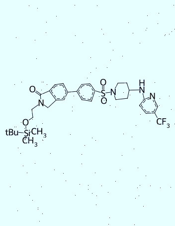 CC(C)(C)[Si](C)(C)OCCN1Cc2cc(-c3ccc(S(=O)(=O)N4CCC(Nc5ccc(C(F)(F)F)cn5)CC4)cc3)ccc2C1=O